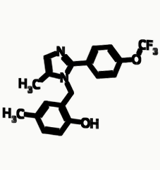 Cc1ccc(O)c(Cn2c(C)cnc2-c2ccc(OC(F)(F)F)cc2)c1